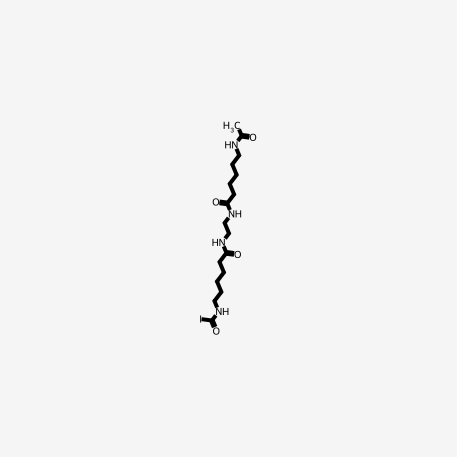 CC(=O)NCCCCCC(=O)NCCNC(=O)CCCCCNC(=O)I